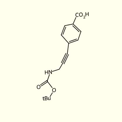 CC(C)(C)OC(=O)NCC#Cc1ccc(C(=O)O)cc1